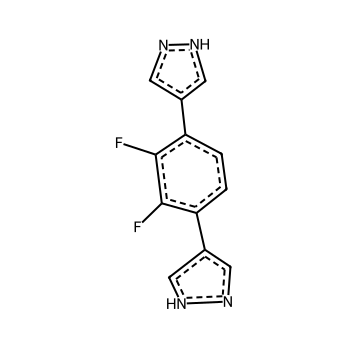 Fc1c(-c2cn[nH]c2)ccc(-c2cn[nH]c2)c1F